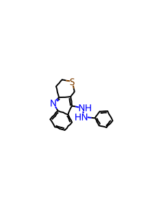 c1ccc(NNc2c3c(nc4ccccc24)CCSC3)cc1